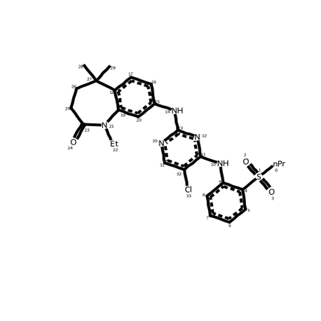 CCCS(=O)(=O)c1ccccc1Nc1nc(Nc2ccc3c(c2)N(CC)C(=O)CCC3(C)C)ncc1Cl